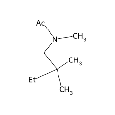 CCC(C)(C)CN(C)C(C)=O